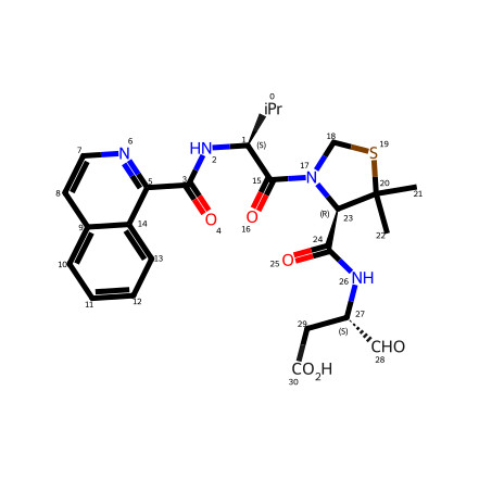 CC(C)[C@H](NC(=O)c1nccc2ccccc12)C(=O)N1CSC(C)(C)[C@H]1C(=O)N[C@H](C=O)CC(=O)O